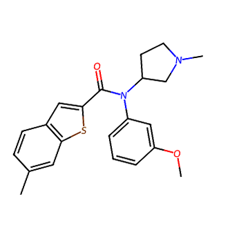 COc1cccc(N(C(=O)c2cc3ccc(C)cc3s2)C2CCN(C)C2)c1